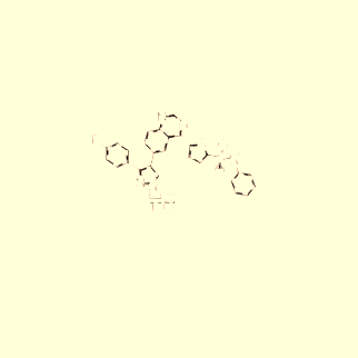 CN(c1ccccc1)S(=O)(=O)c1ccc(-c2ncnc3ccc(-c4c[nH]nc4-c4ccc(F)cc4)cc23)s1.Cl.Cl